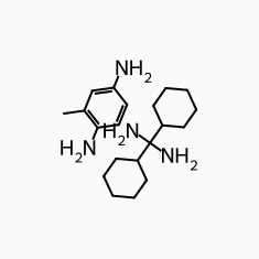 Cc1cc(N)ccc1N.NC(N)(C1CCCCC1)C1CCCCC1